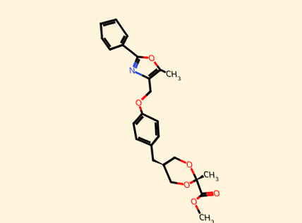 COC(=O)[C@]1(C)OC[C@@H](Cc2ccc(OCc3nc(-c4ccccc4)oc3C)cc2)CO1